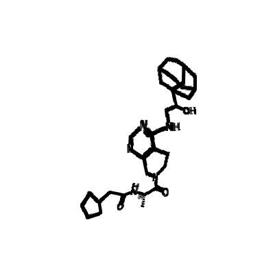 C[C@H](NC(=O)CC1CCCC1)C(=O)N1CCc2c(ncnc2NCC(O)C23CC4CC(CC(C4)C2)C3)C1